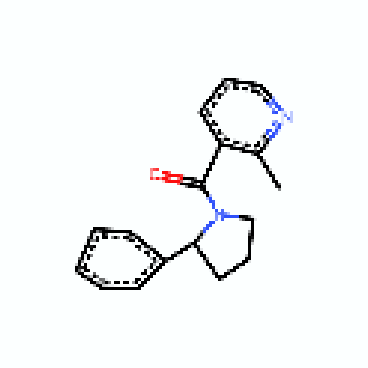 Cc1ncccc1C(=O)N1CCCC1c1ccccc1